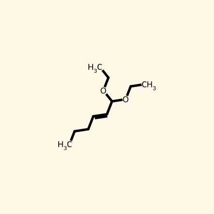 CCCC=CC(OCC)OCC